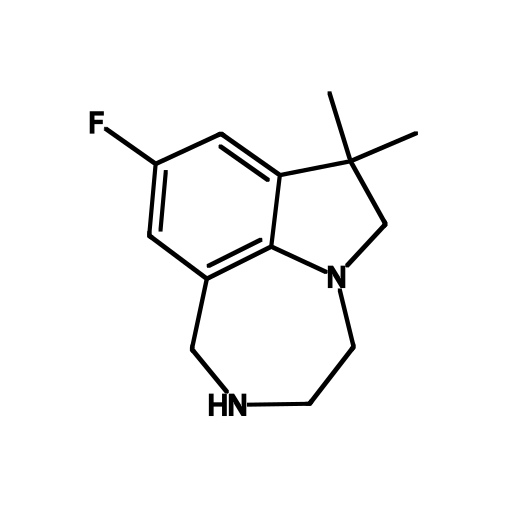 CC1(C)CN2CCNCc3cc(F)cc1c32